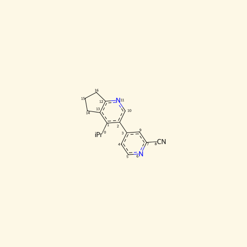 CC(C)c1c(-c2ccnc(C#N)c2)cnc2c1CCC2